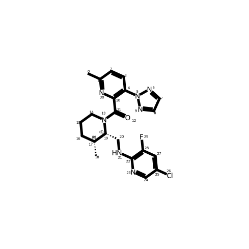 Cc1ccc(-n2nccn2)c(C(=O)N2CCC[C@@H](C)[C@H]2CNc2ncc(Cl)cc2F)n1